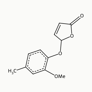 COc1cc(C)ccc1OC1C=CC(=O)O1